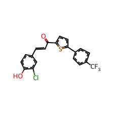 O=C(C=Cc1ccc(O)c(Cl)c1)c1ccc(-c2ccc(C(F)(F)F)cc2)s1